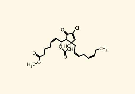 CC/C=C\C/C=C\C[C@@]1(O)C=C(Cl)C(=O)[C@@H]1[C@H](/C=C\CCCC(=O)OC)OC(C)=O